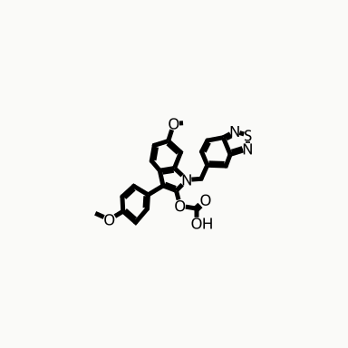 COc1ccc(-c2c(OC(=O)O)n(Cc3ccc4nsnc4c3)c3cc(OC)ccc23)cc1